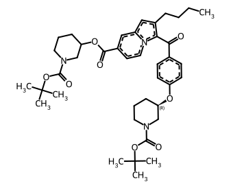 CCCCc1cc2cc(C(=O)OC3CCCN(C(=O)OC(C)(C)C)C3)ccn2c1C(=O)c1ccc(O[C@@H]2CCCN(C(=O)OC(C)(C)C)C2)cc1